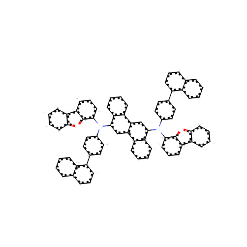 c1ccc2c(-c3ccc(N(c4cc5c6ccccc6c(N(c6ccc(-c7cccc8ccccc78)cc6)c6cccc7c6oc6ccccc67)cc5c5ccccc45)c4cccc5c4oc4ccccc45)cc3)cccc2c1